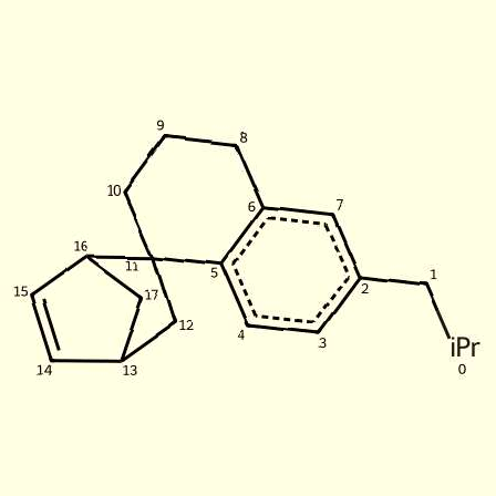 CC(C)Cc1ccc2c(c1)CCCC21CC2C=CC1C2